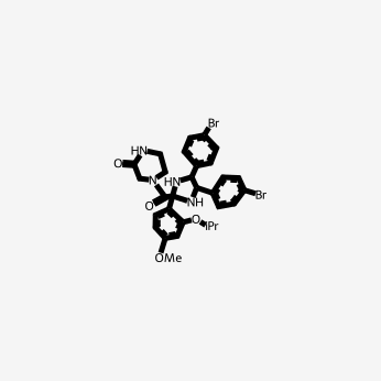 COc1ccc(C2(C(=O)N3CCNC(=O)C3)NC(c3ccc(Br)cc3)C(c3ccc(Br)cc3)N2)c(OC(C)C)c1